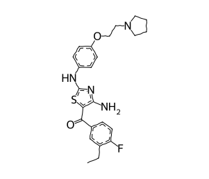 CCc1cc(C(=O)c2sc(Nc3ccc(OCCN4CCCC4)cc3)nc2N)ccc1F